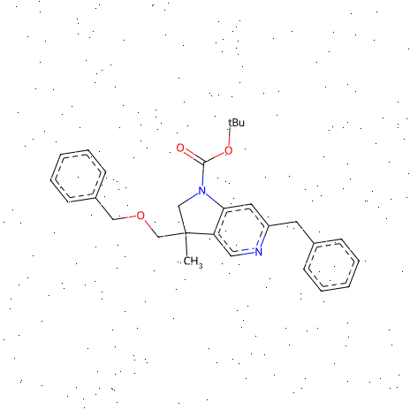 CC(C)(C)OC(=O)N1CC(C)(COCc2ccccc2)c2cnc(Cc3ccccc3)cc21